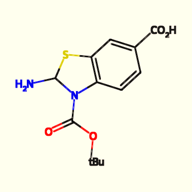 CC(C)(C)OC(=O)N1c2ccc(C(=O)O)cc2SC1N